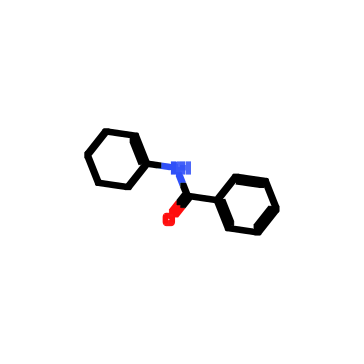 O=C(NC1=CCCCC1)c1ccccc1